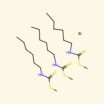 CCCCCCNC(=S)SC.CCCCCCNC(=S)SC.CCCCCCNC(=S)SC.[Bi]